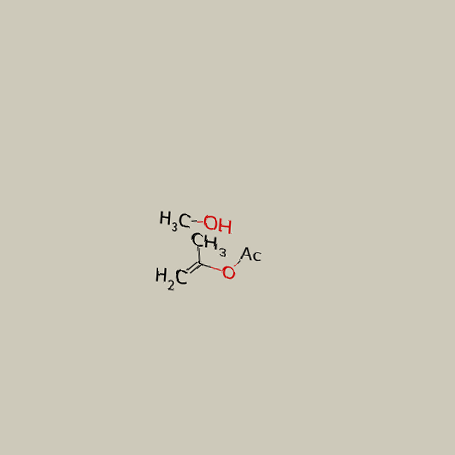 C=C(C)OC(C)=O.CO